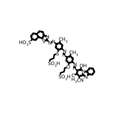 Cc1cc(N=Nc2cc(OCCCS(=O)(=O)O)c(N=Nc3c(C)c(C#N)c4nc5ccccc5n4c3O)cc2C)c(SCCCS(=O)(=O)O)cc1N=Nc1nc2ccc3ccc(S(=O)(=O)O)cc3c2s1